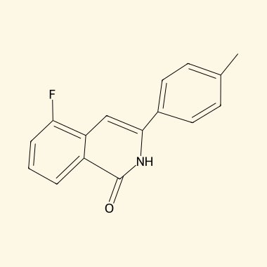 Cc1ccc(-c2cc3c(F)cccc3c(=O)[nH]2)cc1